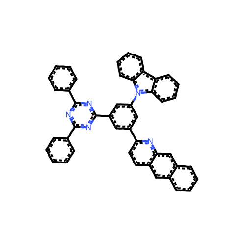 c1ccc(-c2nc(-c3ccccc3)nc(-c3cc(-c4ccc5cc6ccccc6cc5n4)cc(-n4c5ccccc5c5ccccc54)c3)n2)cc1